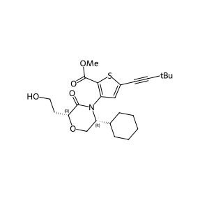 COC(=O)c1sc(C#CC(C)(C)C)cc1N1C(=O)[C@@H](CCO)OC[C@H]1C1CCCCC1